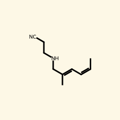 C/C=C\C=C(/C)CNCCC#N